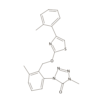 Cc1ccccc1-c1csc(OCc2c(C)cccc2-n2nnn(C)c2=O)n1